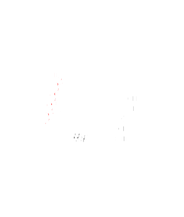 CCCCCCCCCCCCCCCCCC(=O)O.CCCCCCCCCCCCCCCCCC(=O)[O-].CCCCCCCCCCCCCCCCCC(=O)[O-].CCCCCCCCCCCCCCCCCC(=O)[O-].CCCCCCCCCCCCCCCCCC(=O)[O-].[Mg+2].[Mg+2]